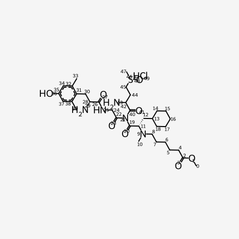 COC(=O)CCCCCN(C)[C@@H](CC1CCCCC1)C(=O)N(C(=O)CNC(=O)[C@@H](N)Cc1c(C)cc(O)cc1C)C(=O)C(N)CC[S+](C)[O-].Cl